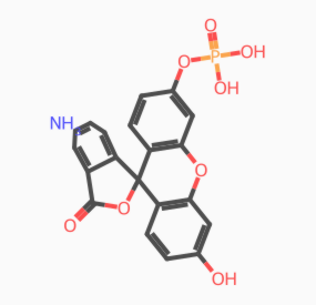 N.O=C1OC2(c3ccc(O)cc3Oc3cc(OP(=O)(O)O)ccc32)c2ccccc21